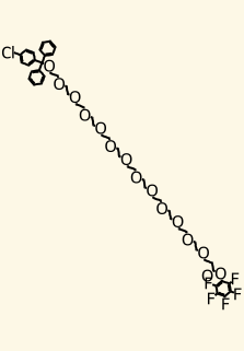 O=C(CCOCCOCCOCCOCCOCCOCCOCCOCCOCCOCCOCCOCCOC(c1ccccc1)(c1ccccc1)c1ccc(Cl)cc1)Oc1c(F)c(F)c(F)c(F)c1F